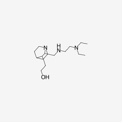 CCN(CC)CCNCC1C(CCO)C2CCN1CC2